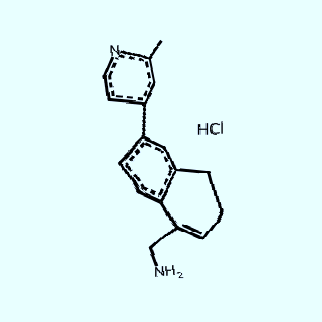 Cc1cc(-c2ccc3c(c2)CCC=C3CN)ccn1.Cl